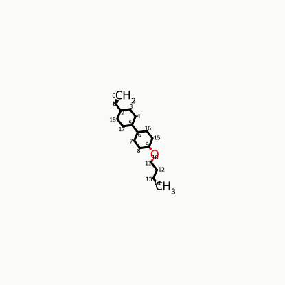 C=CC1CCC(C2CCC(OCCCC)CC2)CC1